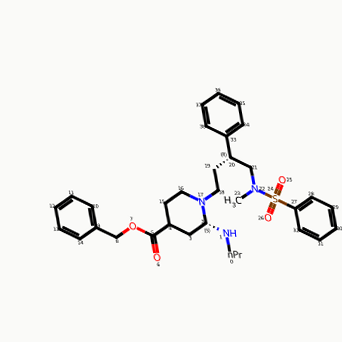 CCCN[C@@H]1CC(C(=O)OCc2ccccc2)CCN1CC[C@@H](CN(C)S(=O)(=O)c1ccccc1)c1ccccc1